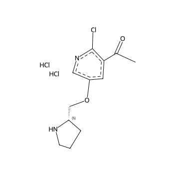 CC(=O)c1cc(OC[C@@H]2CCCN2)cnc1Cl.Cl.Cl